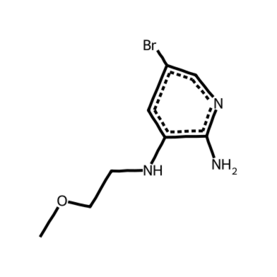 COCCNc1cc(Br)cnc1N